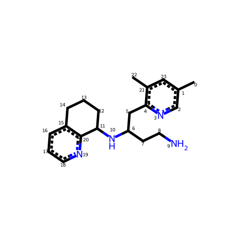 Cc1cnc(CC(CCN)NC2CCCc3cccnc32)c(C)c1